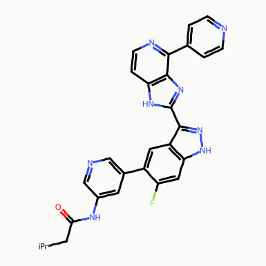 CC(C)CC(=O)Nc1cncc(-c2cc3c(-c4nc5c(-c6ccncc6)nccc5[nH]4)n[nH]c3cc2F)c1